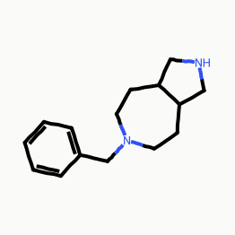 c1ccc(CN2CCC3CNCC3CC2)cc1